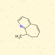 CC1CCC=Cc2cccnc21